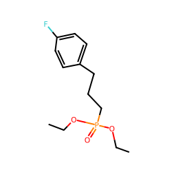 CCOP(=O)(CCCc1ccc(F)cc1)OCC